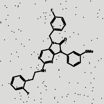 COc1cccc(-n2c(=O)n(Cc3cccc(F)c3)c3cnc(NCCc4ccccc4F)nc32)c1